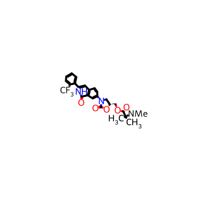 CNC(C)(C)C(=O)OC[C@H]1CN(c2ccc3cc(-c4ccccc4C(F)(F)F)[nH]c(=O)c3c2)C(=O)O1